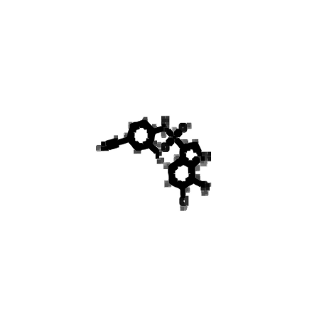 N#Cc1ccc(NS(=O)(=O)c2c[nH]c3c(Br)c(Cl)ccc23)c(F)c1